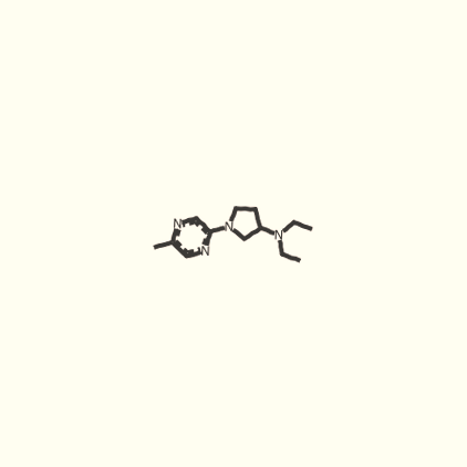 CCN(CC)C1CCN(c2cnc(C)cn2)C1